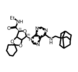 CCNC(=O)[C@H]1O[C@@H](n2cnc3c(NCC45CC6CC(CC(C6)C4)C5)ncnc32)C2OC3(CCCCC3)OC21